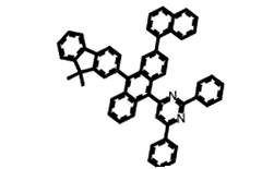 CC1(C)c2ccccc2-c2ccc(-c3c4ccccc4c(-c4cc(-c5ccccc5)nc(-c5ccccc5)n4)c4ccc(-c5cccc6ccccc56)cc34)cc21